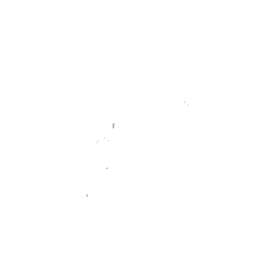 Cc1ccc2oc(=O)c3ccc(C(=O)N/N=C/c4ccc(O)c(O)c4O)cc3n12